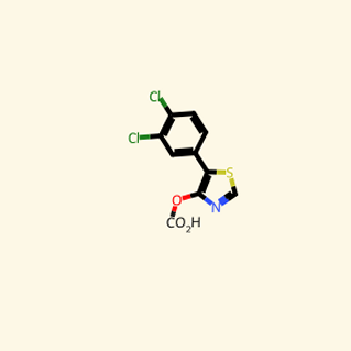 O=C(O)Oc1ncsc1-c1ccc(Cl)c(Cl)c1